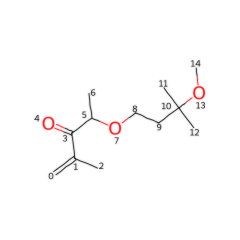 C=C(C)C(=O)C(C)OCCC(C)(C)OC